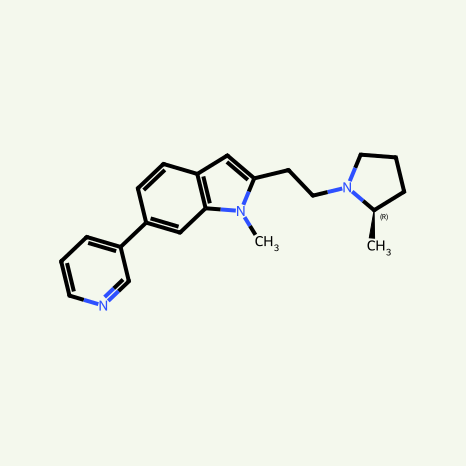 C[C@@H]1CCCN1CCc1cc2ccc(-c3cccnc3)cc2n1C